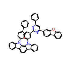 c1ccc(-c2ccc(-n3c4ccccc4c4ccc5c6ccccc6n(-c6cccc(-c7nc(-c8ccccc8)cc(-c8ccc9c(c8)oc8ccccc89)n7)c6)c5c43)cc2)cc1